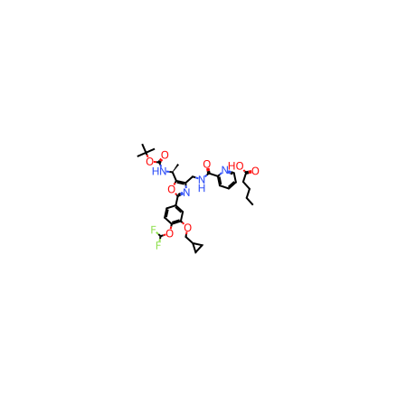 CCCCC(=O)O.C[C@H](NC(=O)OC(C)(C)C)c1oc(-c2ccc(OC(F)F)c(OCC3CC3)c2)nc1CNC(=O)c1ccccn1